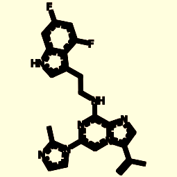 C=C(C)c1cnc2c(NCCc3c[nH]c4cc(F)cc(F)c34)nc(-n3ccnc3C)cn12